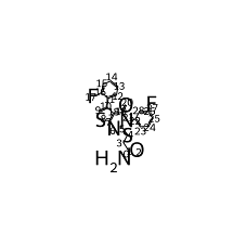 NC(=O)CSc1nc2scc(-c3ccccc3F)c2c(=O)n1-c1cccc(F)c1